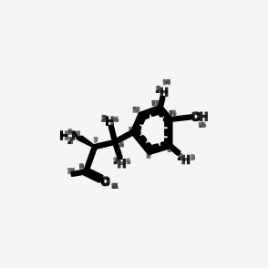 [2H]c1cc(C([2H])([2H])[C@H](N)C(C)=O)cc([2H])c1O